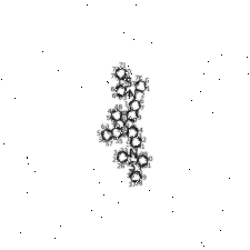 c1ccc(N(c2ccc3cc4c(cc3c2)C2(c3cc5cc(N(c6ccccc6)c6cccc7c6sc6ccccc67)ccc5cc3-4)c3ccccc3-c3c2ccc2ccccc32)c2cccc3c2sc2ccccc23)cc1